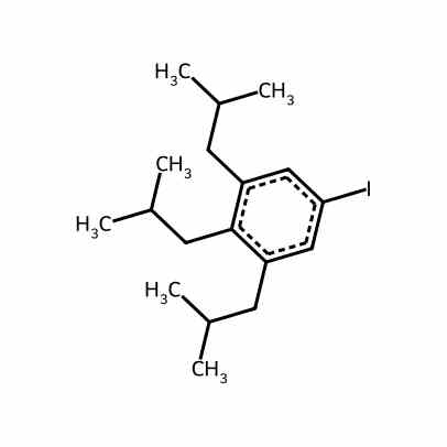 CC(C)Cc1cc(I)cc(CC(C)C)c1CC(C)C